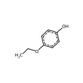 [CH2]COc1ccc(O)cc1